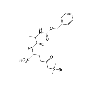 CC(NC(=O)OCc1ccccc1)C(=O)NC(CCC(=O)CS(C)(C)Br)C(=O)O